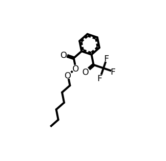 CCCCCCOOC(=O)c1ccccc1C(=O)C(F)(F)F